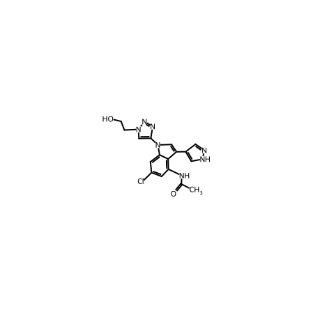 CC(=O)Nc1cc(Cl)cc2c1c(-c1cn[nH]c1)cn2-c1cn(CCO)nn1